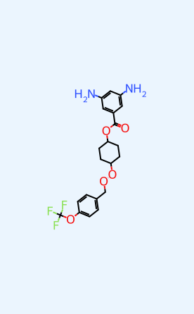 Nc1cc(N)cc(C(=O)OC2CCC(OOCc3ccc(OC(F)(F)F)cc3)CC2)c1